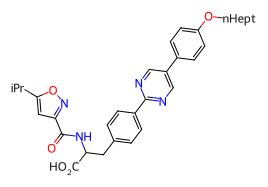 CCCCCCCOc1ccc(-c2cnc(-c3ccc(CC(NC(=O)c4cc(C(C)C)on4)C(=O)O)cc3)nc2)cc1